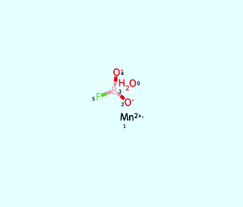 O.[Mn+2].[O-]B([O-])F